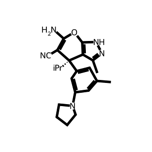 Cc1cc(N2CCCC2)cc([C@@]2(C(C)C)C(C#N)=C(N)Oc3[nH]nc(C)c32)c1